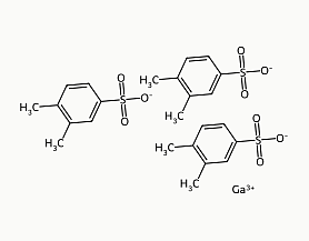 Cc1ccc(S(=O)(=O)[O-])cc1C.Cc1ccc(S(=O)(=O)[O-])cc1C.Cc1ccc(S(=O)(=O)[O-])cc1C.[Ga+3]